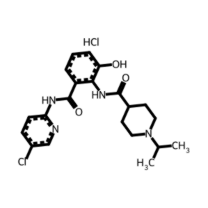 CC(C)N1CCC(C(=O)Nc2c(O)cccc2C(=O)Nc2ccc(Cl)cn2)CC1.Cl